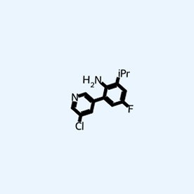 CC(C)c1cc(F)cc(-c2cncc(Cl)c2)c1N